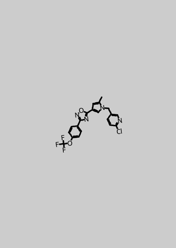 Cc1cc(-c2nc(-c3ccc(OC(F)(F)F)cc3)no2)cn1Cc1ccc(Cl)nc1